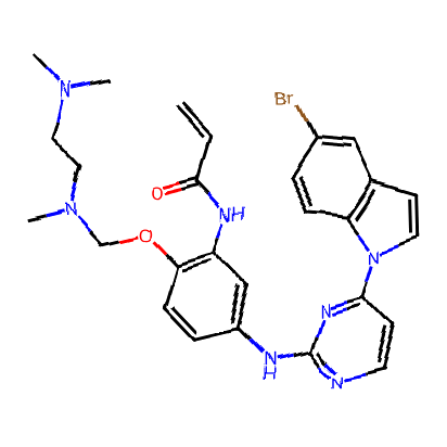 C=CC(=O)Nc1cc(Nc2nccc(-n3ccc4cc(Br)ccc43)n2)ccc1OCN(C)CCN(C)C